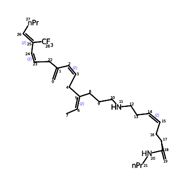 C=C(/C=C\C/C(=C\C)CCCNCC/C=C\CCC(=C)NCCC)C/C=C\C(=C\CCC)C(F)(F)F